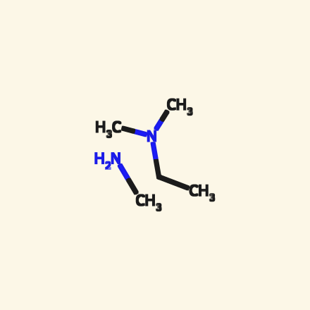 CCN(C)C.CN